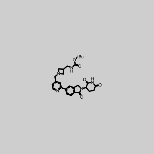 CC(C)(C)OC(=O)NCC1CN(Cc2ccnc(-c3ccc4c(c3)CN(C3CCC(=O)NC3=O)C4=O)c2)C1